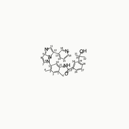 Cc1cc(C)c(-n2ccc3ncc(-c4cccnc4)n32)cc1NC(=O)c1cccc(C(C)(C)O)c1